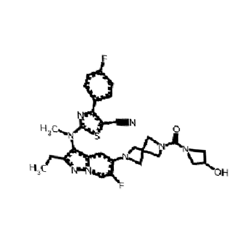 CCc1nn2cc(F)c(N3CC4(CN(C(=O)N5CC(O)C5)C4)C3)cc2c1N(C)c1nc(-c2ccc(F)cc2)c(C#N)s1